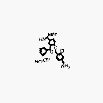 CNC(=N)c1ccc(OCc2ccc(CN)cc2Cl)c(C(=O)c2ccccc2)c1.Cl.Cl